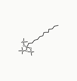 CCCCCCCCCCCC[Si](O[Si](C)(C)C)(O[Si](C)(C)C)O[Si](C)(C)C